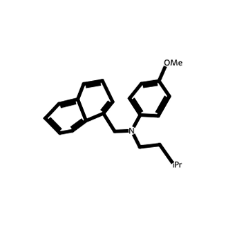 COc1ccc(N(CCC(C)C)Cc2cccc3ccccc23)cc1